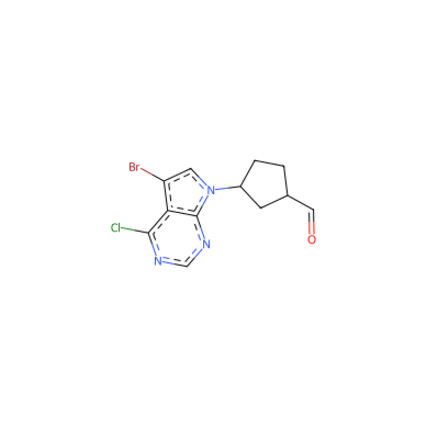 O=CC1CCC(n2cc(Br)c3c(Cl)ncnc32)C1